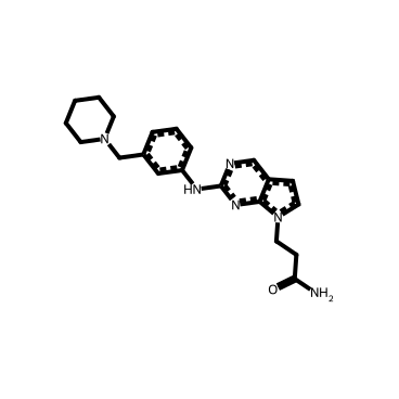 NC(=O)CCn1ccc2cnc(Nc3cccc(CN4CCCCC4)c3)nc21